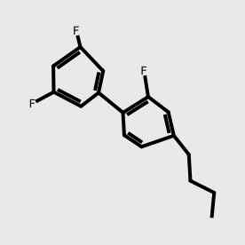 CCCCc1ccc(-c2cc(F)cc(F)c2)c(F)c1